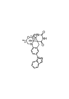 C[C@@H]1CN2c3ccc(-n4ncc5ccccc54)cc3CC3(C(=O)NC(=O)NC3=O)[C@H]2[C@H](C)O1